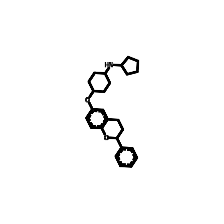 c1ccc(C2CCc3cc(OC4CCC(NC5CCCC5)CC4)ccc3O2)cc1